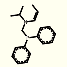 C/C=C\N(CP(c1ccccc1)c1ccccc1)C(C)C